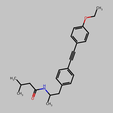 CCOc1ccc(C#Cc2ccc(CC(C)NC(=O)CC(C)C)cc2)cc1